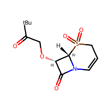 CC(C)(C)C(=O)CO[C@H]1C(=O)N2C=CCS(=O)(=O)[C@@H]12